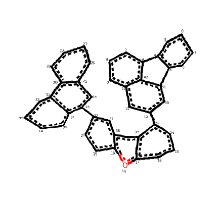 c1ccc2c(c1)-c1cccc3cc(-c4cccc5oc6ccc(-c7cc8ccccc8c8ccccc78)cc6c45)cc-2c13